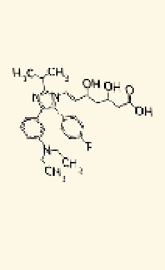 CCN(CC)c1cccc(-c2nc(C(C)C)n(/C=C/C(O)CC(O)CC(=O)O)c2-c2ccc(F)cc2)c1